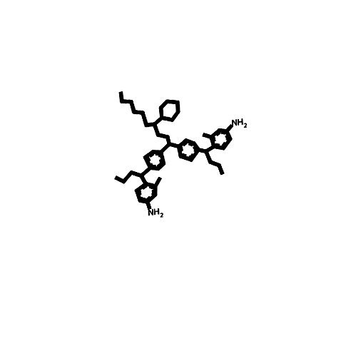 CCCCCCC(CCC(c1ccc(C(CCC)c2ccc(N)cc2C)cc1)c1ccc(C(CCC)c2ccc(N)cc2C)cc1)C1CCCCC1